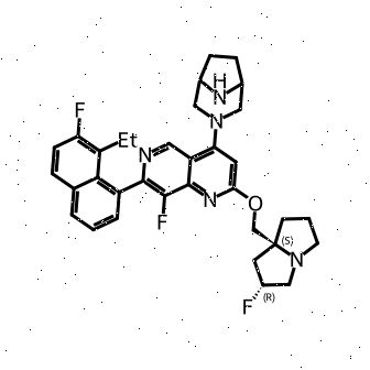 CCc1c(F)ccc2cccc(-c3ncc4c(N5CC6CCC(C5)N6)cc(OC[C@@]56CCCN5C[C@H](F)C6)nc4c3F)c12